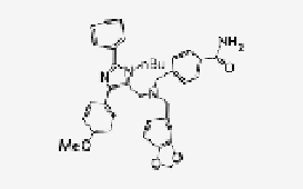 CCCCn1c(-c2ccccc2)nc(-c2ccc(OC)cc2)c1CN(Cc1ccc(C(N)=O)cc1)Cc1ccc2c(c1)OCO2